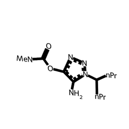 CCCC(CCC)n1nnc(OC(=O)NC)c1N